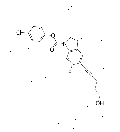 O=C(Oc1ccc(Cl)cc1)N1CCc2cc(C#CCCCO)c(F)cc21